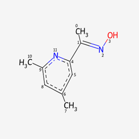 C/C(=N\O)c1cc(C)cc(C)n1